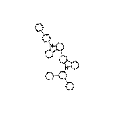 c1ccc(-c2ccc(-n3c4ccccc4c4c(-c5ccc6c(c5)c5ccccc5n6-c5cc(-c6ccccc6)cc(-c6ccccc6)c5)cccc43)cc2)cc1